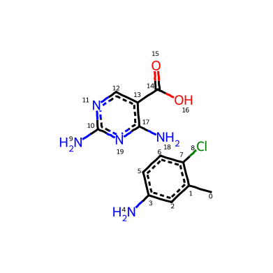 Cc1cc(N)ccc1Cl.Nc1ncc(C(=O)O)c(N)n1